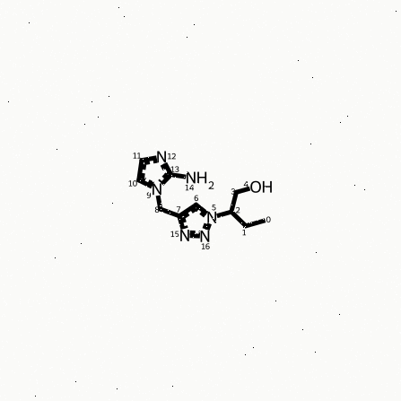 CCC(CO)n1cc(Cn2ccnc2N)nn1